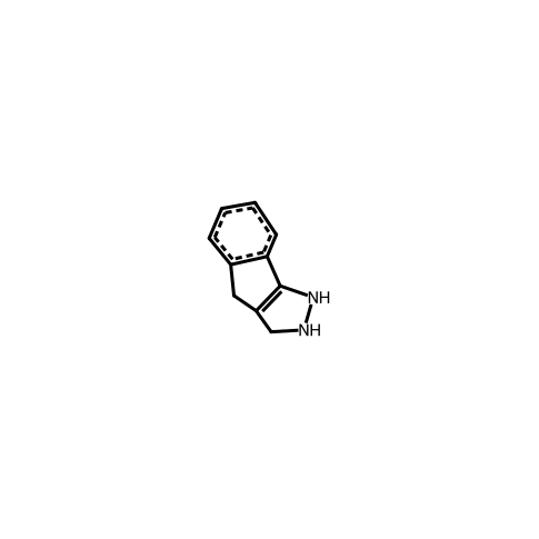 c1ccc2c(c1)CC1=C2NNC1